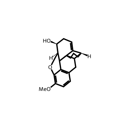 COc1ccc2c3c1O[C@H]1[C@@H](O)CC=C4[C@@H]5CCCC(C5C2)[C@]431